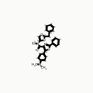 CCN(C(=O)c1nc(-c2ccccc2)oc1-c1ccc(N(C)C)cc1)C1=COC(Cc2ccccc2)O1